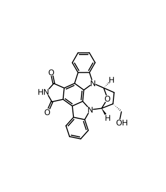 O=C1NC(=O)c2c1c1c3ccccc3n3c1c1c2c2ccccc2n1[C@H]1C[C@H](CO)[C@H]3O1